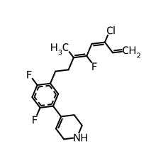 C=C/C(Cl)=C\C(F)=C(/C)CCc1cc(C2=CCNCC2)c(F)cc1F